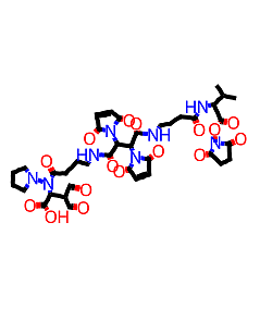 CC(C)C(NC(=O)CCCNC(=O)C(C(C(=O)NCCCC(=O)N(C(C(=O)O)C(C=O)C=O)N1CCCC1)N1C(=O)C=CC1=O)N1C(=O)C=CC1=O)C(=O)ON1C(=O)CCC1=O